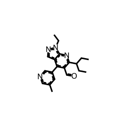 CCC(CC)c1nc2c(cnn2CC)c(-c2cncc(C)c2)c1C=O